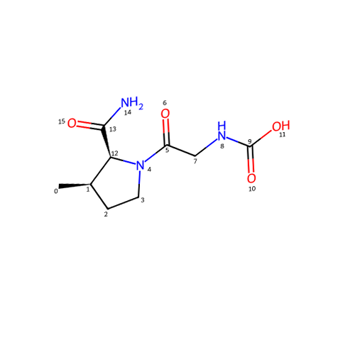 C[C@@H]1CCN(C(=O)CNC(=O)O)[C@@H]1C(N)=O